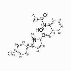 COC(=O)N(O)c1ccccc1COC1C=CN(c2ccc(Cl)cc2)N1C